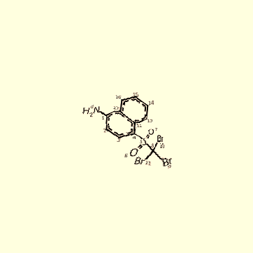 Nc1ccc(S(=O)(=O)C(Br)(Br)Br)c2ccccc12